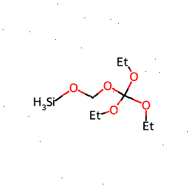 CCOC(OCC)(OCC)OCO[SiH3]